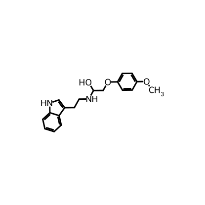 COc1ccc(OCC(O)NCCc2c[nH]c3ccccc23)cc1